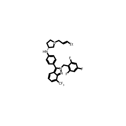 CC/C=C/CN1CC[C@@H](Nc2ccc(-c3c4cccc(C(F)(F)F)c4nn3Cc3c(F)cc(F)cc3F)cc2)C1